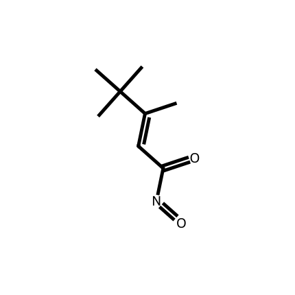 C/C(=C\C(=O)N=O)C(C)(C)C